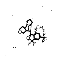 CSc1cc(C(F)(F)F)cc(C(F)(F)F)c1C(=O)NC1COCCC1N1CCCC1